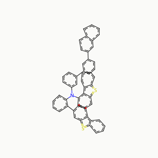 c1cc(-c2cccc(N(c3ccccc3-c3ccc4c(c3)sc3ccccc34)c3cccc4sc5ccccc5c34)c2)cc(-c2ccc3ccccc3c2)c1